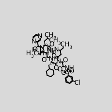 CCC(N)CC(=O)N(C(=O)C(=O)NS(=O)(=O)c1cccc(Cl)c1)C(=O)[C@H](CC1CCCCC1)NC(=O)[C@@H](NC(=O)[C@H](CC(C)C)NC(=O)c1cnccn1)[C@@H](C)CC